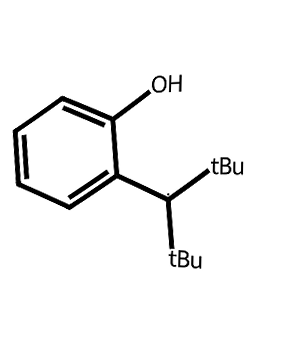 CC(C)(C)[C](c1ccccc1O)C(C)(C)C